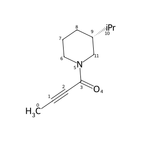 CC#CC(=O)N1CCC[C@H](C(C)C)C1